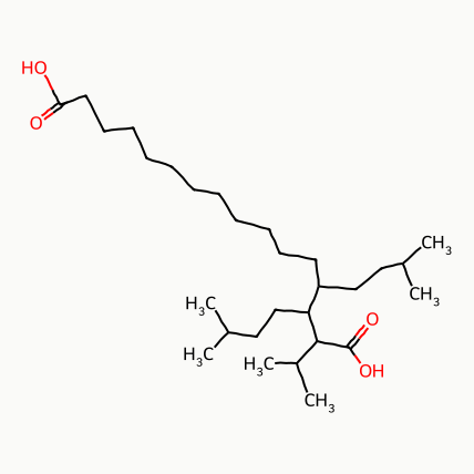 CC(C)CCC(CCCCCCCCCCCC(=O)O)C(CCC(C)C)C(C(=O)O)C(C)C